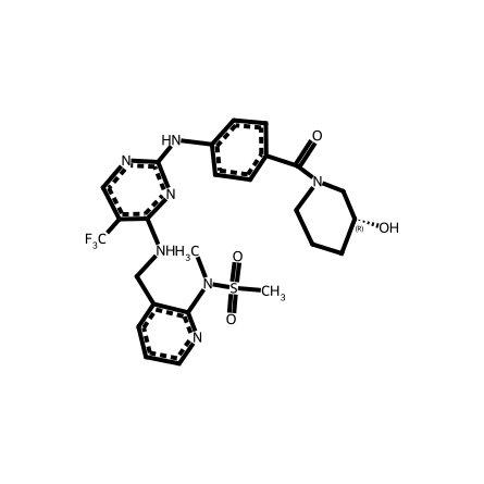 CN(c1ncccc1CNc1nc(Nc2ccc(C(=O)N3CCC[C@@H](O)C3)cc2)ncc1C(F)(F)F)S(C)(=O)=O